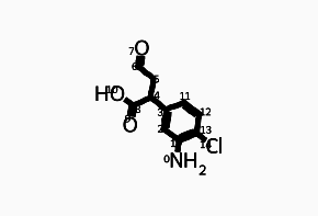 Nc1cc(C(CC=O)C(=O)O)ccc1Cl